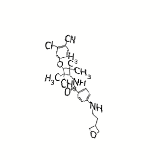 CC1(C)C(NC(=O)c2ccc(NCCC3COC3)cc2)C(C)(C)C1Oc1ccc(C#N)c(Cl)c1